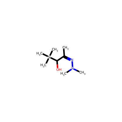 CC(=NN(C)C)C(O)[Si](C)(C)C